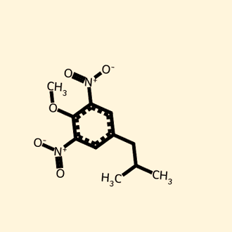 COc1c([N+](=O)[O-])cc(CC(C)C)cc1[N+](=O)[O-]